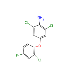 Nc1c(Cl)cc(Oc2ccc(F)cc2Cl)cc1Cl